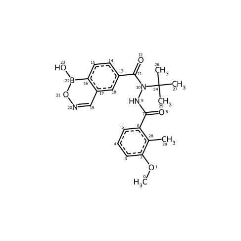 COc1cccc(C(=O)NN(C(=O)c2ccc3c(c2)C=NOB3O)C(C)(C)C)c1C